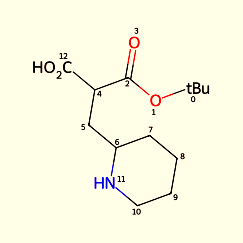 CC(C)(C)OC(=O)C(CC1CCCCN1)C(=O)O